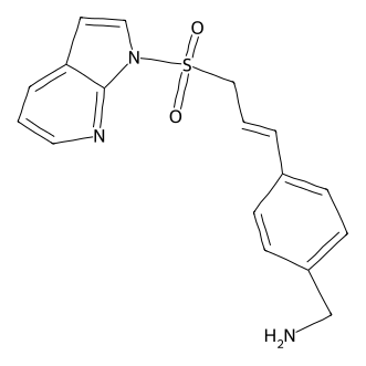 NCc1ccc(C=CCS(=O)(=O)n2ccc3cccnc32)cc1